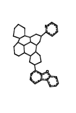 c1ccc(C2CC3C4CCCCC4C4CCCC5C6CC(c7cccc8c7oc7ccccc78)CCC6C(C2)C3C45)nc1